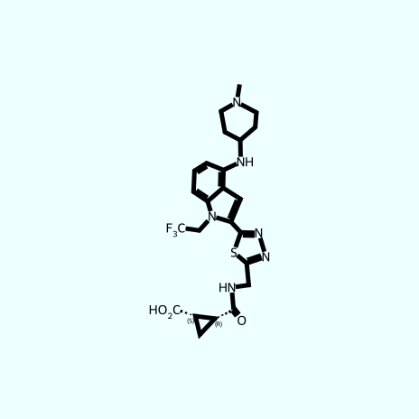 CN1CCC(Nc2cccc3c2cc(-c2nnc(CNC(=O)[C@@H]4C[C@@H]4C(=O)O)s2)n3CC(F)(F)F)CC1